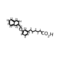 O=C(O)CCCCCc1cccc(OCc2ccc3ccccc3c2)c1